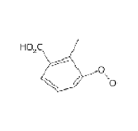 Cc1c(O[O])cccc1C(=O)O